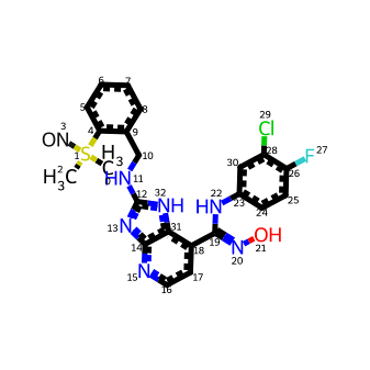 CS(C)(N=O)c1ccccc1CNc1nc2nccc(/C(=N/O)Nc3ccc(F)c(Cl)c3)c2[nH]1